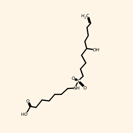 C=CCCCC(O)CCCCS(=O)(=O)NCCCCCCC(=O)O